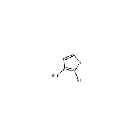 CCc1sccc1C(C)CC